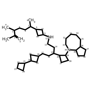 C=C(C)C(C)CCC(C)C1CC(NCCC(CCC2CC(C3CCC3)C2)C2CCC2N2CCCCCC3CCCC32)C1